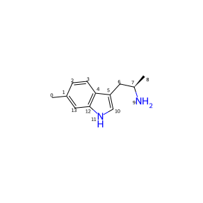 Cc1ccc2c(C[C@@H](C)N)c[nH]c2c1